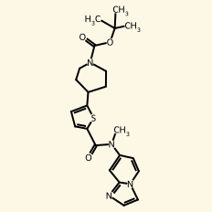 CN(C(=O)c1ccc(C2CCN(C(=O)OC(C)(C)C)CC2)s1)c1ccn2ccnc2c1